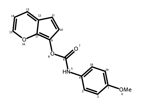 COc1ccc(NC(=O)Oc2ccc3cccoc2-3)cc1